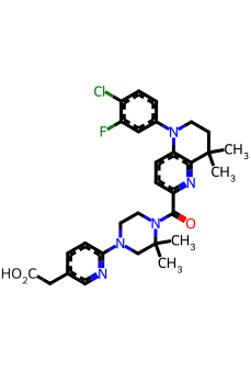 CC1(C)CCN(c2ccc(Cl)c(F)c2)c2ccc(C(=O)N3CCN(c4ccc(CC(=O)O)cn4)CC3(C)C)nc21